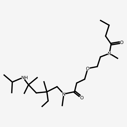 CCCC(=O)N(C)CCOCCC(=O)N(C)CC(C)(CC)CC(C)(C)NC(C)C